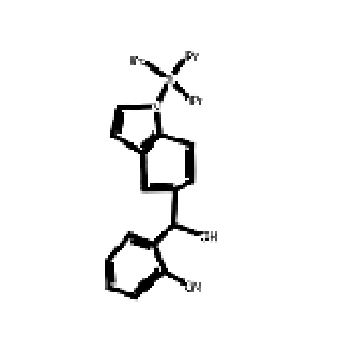 CC(C)[Si](C(C)C)(C(C)C)n1ccc2cc(C(O)c3ccccc3C#N)ccc21